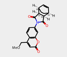 COCc1cc(=O)oc2cc(N3C(=O)[C@@H]4[C@H](C3=O)[C@@H]3C=C[C@H]4CC3)ccc12